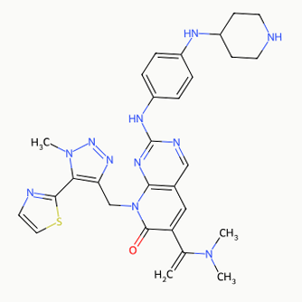 C=C(c1cc2cnc(Nc3ccc(NC4CCNCC4)cc3)nc2n(Cc2nnn(C)c2-c2nccs2)c1=O)N(C)C